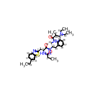 CCC(=O)N[C@@H](Cc1nc2ccc(CC)cc2s1)C(=O)N[C@H](CNC(=O)C(C)CN(CC)CC)Cc1ccccc1